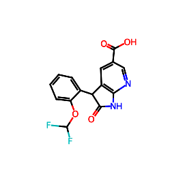 O=C(O)c1cnc2c(c1)C(c1ccccc1OC(F)F)C(=O)N2